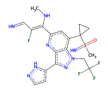 CN/C(=C(/F)C=N)c1cc(C2(S(C)(=N)=O)CC2)c2c(n1)c(-c1ccn[nH]1)nn2CC(F)(F)F